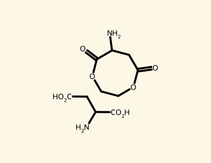 NC(CC(=O)O)C(=O)O.NC1CC(=O)OCCOC1=O